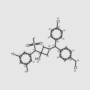 CS(=O)(=O)C(c1cc(F)cc(F)c1)C1(O)CN(C(c2ccc(Cl)cc2)c2ccc(CCl)cc2)C1